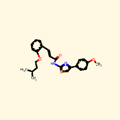 COc1ccc(-c2csc(NC(=O)C=Cc3ccccc3OCCC(C)C)n2)cc1